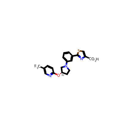 O=C(O)c1csc(-c2cccc(N3CC[C@H](Oc4ccc(C(F)(F)F)cn4)C3)c2)n1